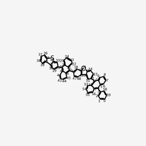 c1ccc(-c2c3ccccc3c(-c3ccc4oc5cc(-c6c7ccccc7c(-c7ccc8c(c7)sc7ccccc78)c7ccccc67)ccc5c4c3)c3ccccc23)cc1